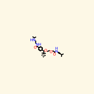 CC(C)C#CNC(=O)COCCOC(c1ccc(C(=O)NCCNC(C)C)cc1)C(C)(C)[Si](C)(C)C